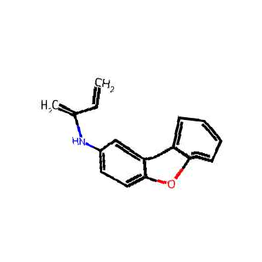 C=CC(=C)Nc1ccc2oc3ccccc3c2c1